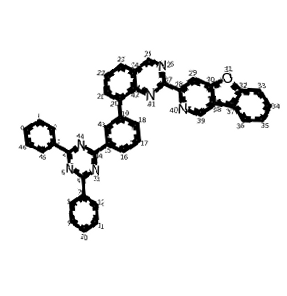 c1ccc(-c2nc(-c3ccccc3)nc(-c3cccc(-c4cccc5cnc(-c6cc7oc8ccccc8c7cn6)nc45)c3)n2)cc1